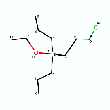 CCC[Si](CCC)(CCCCl)OCC